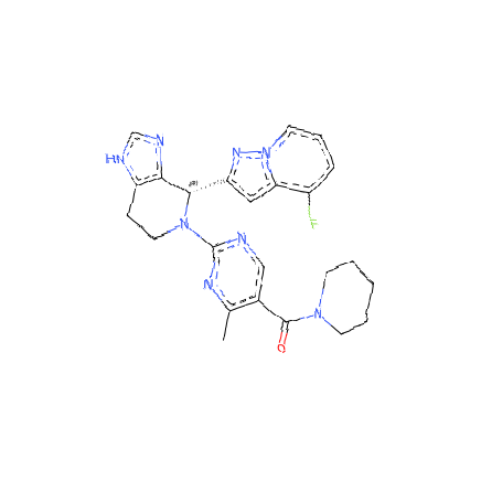 Cc1nc(N2CCc3[nH]cnc3[C@@H]2c2cc3c(F)cccn3n2)ncc1C(=O)N1CCCCC1